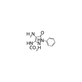 Nc1c(NC(=O)O)[nH]n(-c2ccccc2)c1=O